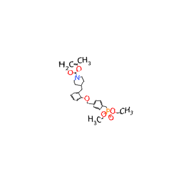 C=C(C)OC(=O)N1CCC(Cc2ccccc2OCc2ccc(CP(=O)(OCC)OCC)cc2)CC1